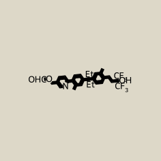 CCC(CC)(c1ccc(CCC(O)(C(F)(F)F)C(F)(F)F)c(C)c1)c1ccc(-c2ccc(COC=O)cn2)c(C)c1